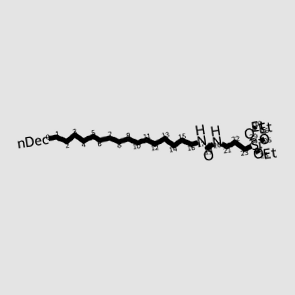 CCCCCCCCCCCCCCCCCCCCCCCCCCNC(=O)NCCC[Si](OCC)(OCC)OCC